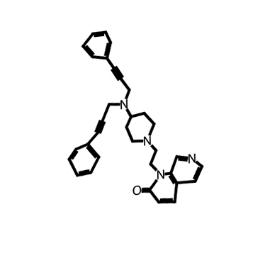 O=c1ccc2ccncc2n1CCN1CCC(N(CC#Cc2ccccc2)CC#Cc2ccccc2)CC1